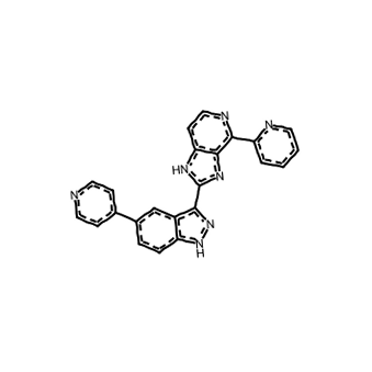 c1ccc(-c2nccc3[nH]c(-c4n[nH]c5ccc(-c6ccncc6)cc45)nc23)nc1